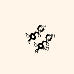 COc1cc(CC(=O)N2CCNCC2)ccc1C#N.COc1cc(CC(=O)N2CCNCC2)ccc1C#N.Cl.Cl